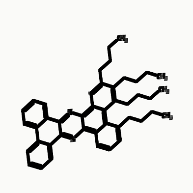 CCCCc1[c]c2c3nc4c5ccccc5c5ccccc5c4nc3c3cccc(CCCC)c3c2c(CCCC)c1CCCC